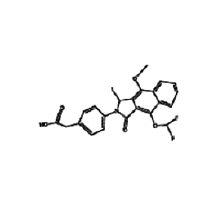 COc1c2c(c(OC(F)F)c3ccccc13)C(=O)N(c1ccc(CC(=O)O)cc1)C2I